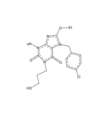 CCCn1c(=O)n(CCCO)c(=O)c2c1nc(OCC)n2Cc1ccc(Cl)cc1